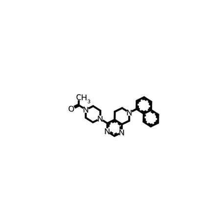 CC(=O)N1CCN(c2ncnc3c2CCN(c2cccc4ccccc24)C3)CC1